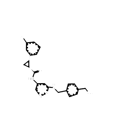 O=C(Nc1cnnc(NCc2ccc(CO)cc2)c1)[C@H]1C[C@@H]1c1cccc(Cl)c1